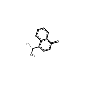 CC[C@H](n1ccc(=O)c2cccnc21)C(F)(F)F